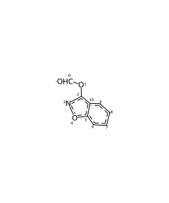 O=[C]Oc1noc2ccccc12